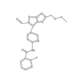 COOCc1cc2oc(C=O)c(-c3ccc(NC(=O)c4ccccc4F)nc3)c2s1